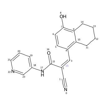 N#C/C(=C/c1ccc(O)c2c1CCCC2)C(=O)Nc1cccnc1